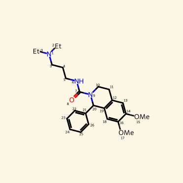 CCN(CC)CCCNC(=O)N1CCc2cc(OC)c(OC)cc2C1c1ccccc1